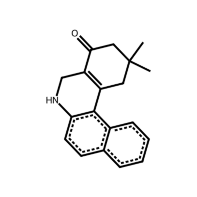 CC1(C)CC(=O)C2=C(C1)c1c(ccc3ccccc13)NC2